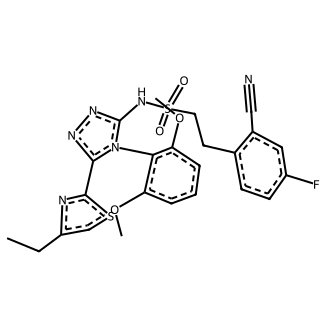 CCc1csc(-c2nnc(NS(=O)(=O)CCc3ccc(F)cc3C#N)n2-c2c(OC)cccc2OC)n1